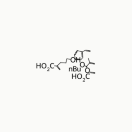 C=C(C)C(=O)OCCCC.C=C(CCCO)C(=O)O.C=CC(=O)O.C=Cc1ccccc1